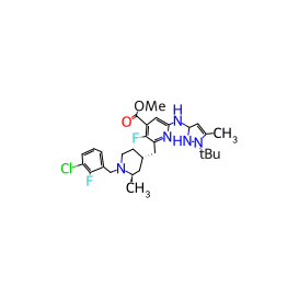 COC(=O)c1cc(NC2C=C(C)N(C(C)(C)C)N2)nc(C[C@H]2CCN(Cc3cccc(Cl)c3F)[C@H](C)C2)c1F